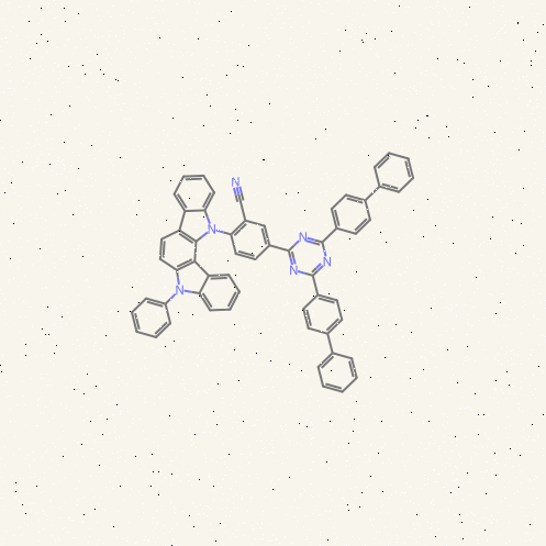 N#Cc1cc(-c2nc(-c3ccc(-c4ccccc4)cc3)nc(-c3ccc(-c4ccccc4)cc3)n2)ccc1-n1c2ccccc2c2ccc3c(c4ccccc4n3-c3ccccc3)c21